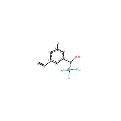 C=Cc1cc(C)cc(C(O)C(F)(F)F)c1